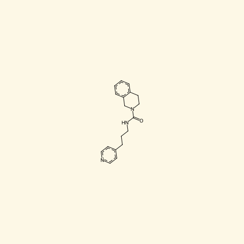 O=C(NCCCc1ccncc1)N1CCc2ccccc2C1